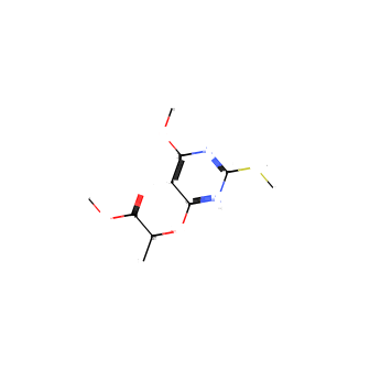 COC(=O)C(C)Oc1cc(OC)nc(SC)n1